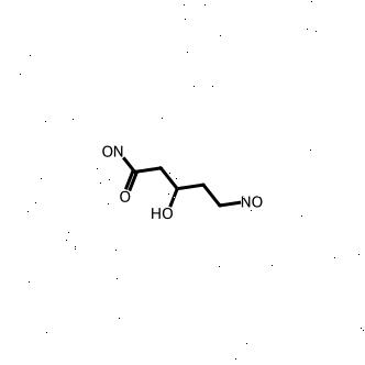 O=NCCC(O)CC(=O)N=O